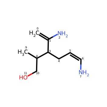 C=C(N)C(C/C=C\N)C(C)CO